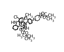 COc1cc(N2CCN(C(=O)OC(C)(C)C)CC2)ccc1Nc1ncc(Cl)c(Nc2ccccc2NS(=O)(=O)NC(=O)OC(C)(C)C)n1